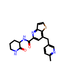 Cc1ccc(Cc2cc(C(=O)NC3CCCNC3=O)nc3ccsc23)cn1